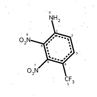 Nc1ccc(C(F)(F)F)c([N+](=O)[O-])c1[N+](=O)[O-]